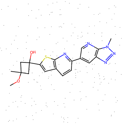 COC1(C)CC(O)(c2cc3ccc(-c4cnc5c(c4)nnn5C)nc3s2)C1